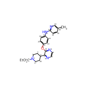 CCOC(=O)N1CCC(c2nccnc2Oc2ccc(Nc3ccc(C)cn3)cc2)CC1